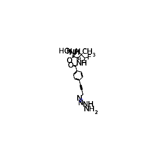 CC(N)(C(F)F)[C@H](NC(=O)c1ccc(C#CC/N=N\NN)cc1)C(=O)NO